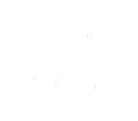 CCCCC(C=NO)CC